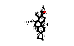 C[C@]12CC=C3C(C1CC[C@@]21OCOC12COCO2)[C@H](OP)C[C@@H]1CC2(CC[C@]31C)OCCO2